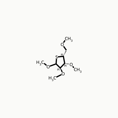 COC[C@H]1SC(OC)[C@H](OC)[C@H]1OC